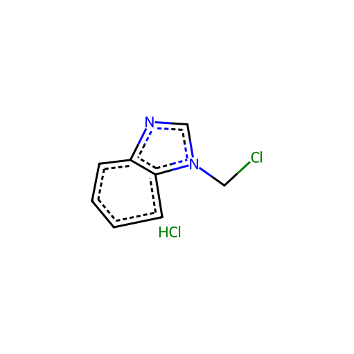 Cl.ClCn1cnc2ccccc21